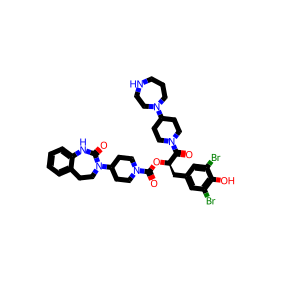 O=C(O[C@H](Cc1cc(Br)c(O)c(Br)c1)C(=O)N1CCC(N2CCCNCC2)CC1)N1CCC(N2CCc3ccccc3NC2=O)CC1